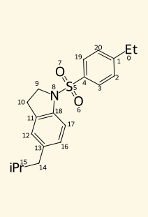 CCc1ccc(S(=O)(=O)N2CCc3cc(CC(C)C)ccc32)cc1